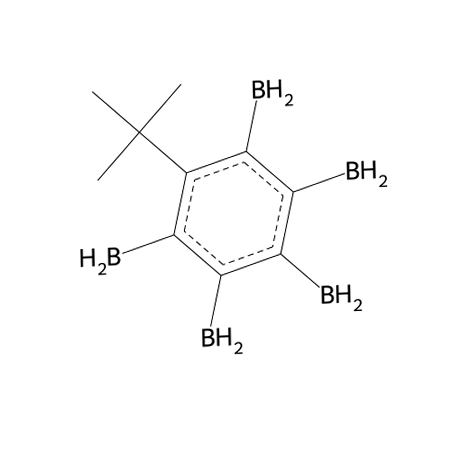 Bc1c(B)c(B)c(C(C)(C)C)c(B)c1B